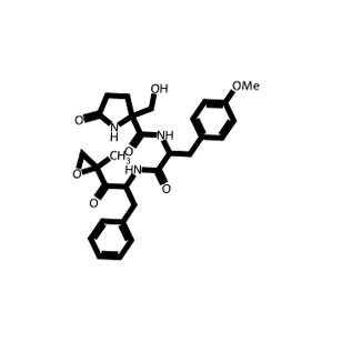 COc1ccc(CC(NC(=O)C2(CO)CCC(=O)N2)C(=O)NC(Cc2ccccc2)C(=O)C2(C)CO2)cc1